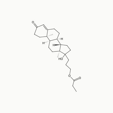 CCC(=O)OCCCC1(O)CC[C@H]2[C@@H]3CCC4=CC(=O)CC[C@]4(C)[C@@H]3CC[C@@]21C